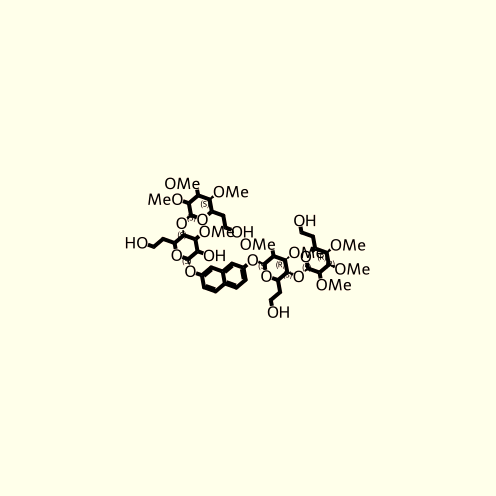 COC1C(OC)[C@@H](OC)C(CCO)O[C@H]1O[C@H]1C(CCO)O[C@@H](Oc2ccc3ccc(O[C@@H]4OC(CCO)[C@H](O[C@@H]5OC(CCO)[C@@H](OC)[C@@H](OC)C5OC)[C@@H](OC)C4OC)cc3c2)C(O)C1OC